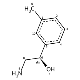 Cc1cccc([C@@H](O)CN)c1